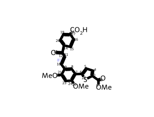 COC(=O)c1ccc(-c2cc(/C=C/C(=O)c3ccc(C(=O)O)cc3)c(OC)cc2OC)s1